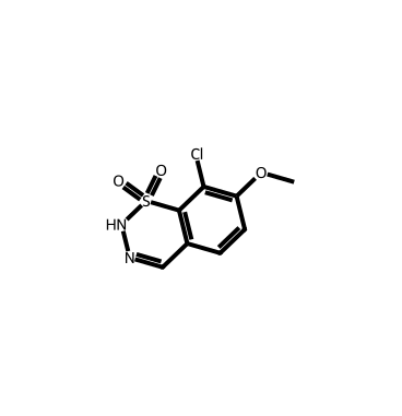 COc1ccc2c(c1Cl)S(=O)(=O)NN=C2